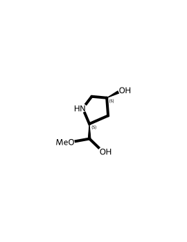 COC(O)[C@@H]1C[C@H](O)CN1